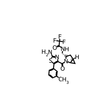 Cc1cccc(-c2sc(N)nc2C(=O)N2C3C[C@H]3C[C@H]2CNC(=O)C(F)(F)F)c1